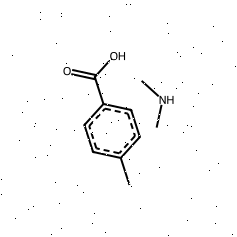 CNC.Cc1ccc(C(=O)O)cc1